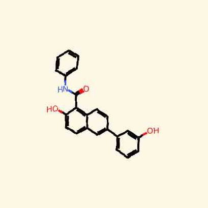 O=C(Nc1ccccc1)c1c(O)ccc2cc(-c3cccc(O)c3)ccc12